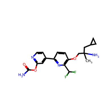 CC(N)(COc1ccc(-c2ccnc(OC(N)=O)c2)nc1C(F)F)CC1CC1